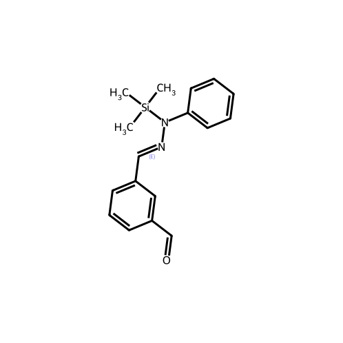 C[Si](C)(C)N(/N=C/c1cccc(C=O)c1)c1ccccc1